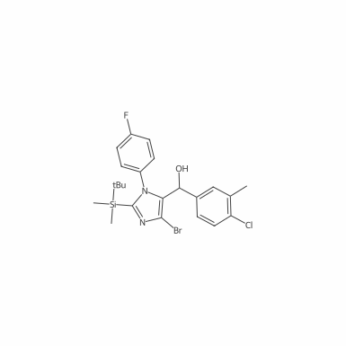 Cc1cc(C(O)c2c(Br)nc([Si](C)(C)C(C)(C)C)n2-c2ccc(F)cc2)ccc1Cl